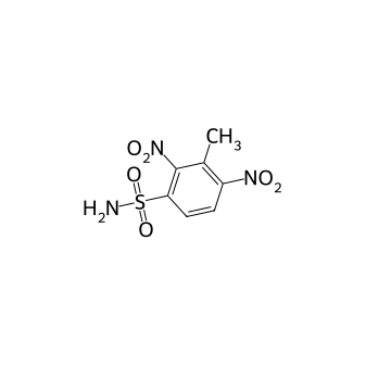 Cc1c([N+](=O)[O-])ccc(S(N)(=O)=O)c1[N+](=O)[O-]